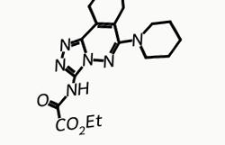 CCOC(=O)C(=O)Nc1nnc2c3c(c(N4CCCCC4)nn12)CCCC3